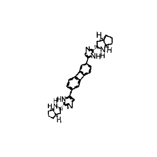 c1cc2c(cc1-c1cnc([C@@H]3C[C@@H]4CCC[C@@H]4N3)[nH]1)-c1ccc(-c3cnc([C@@H]4C[C@@H]5CCC[C@@H]5N4)[nH]3)cc1-2